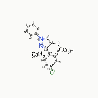 O=C(O)Cc1cn(-c2ccccc2)nc1-c1ccc(Cl)cc1.[CaH2]